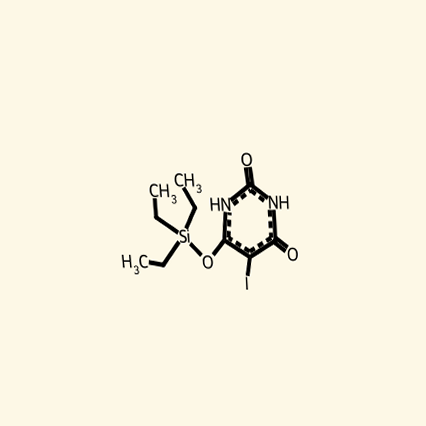 CC[Si](CC)(CC)Oc1[nH]c(=O)[nH]c(=O)c1I